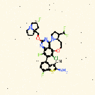 N#Cc1c(N)sc2c(F)ccc(-c3c(Cl)c4c5c(nc(OCC67CCCN6C[C@H](F)C7)nc5c3F)N3CCC(C(F)F)C3CCO4)c12